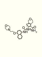 NC(=O)c1c(NC(=O)Nc2ccc(OCCN3CCOCC3)c3ccccc23)sc2c1CCOC2